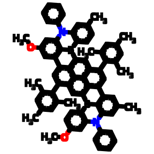 COc1ccc2c(c1)N(c1ccccc1)c1cc(C)cc3c1B2c1cc2c(-c4c(C)cc(C)cc4C)cc4c5c(cc6c(-c7c(C)cc(C)cc7C)cc-3c1c6c25)B1c2ccc(C)cc2N(c2ccccc2)c2cc(OC)cc-4c21